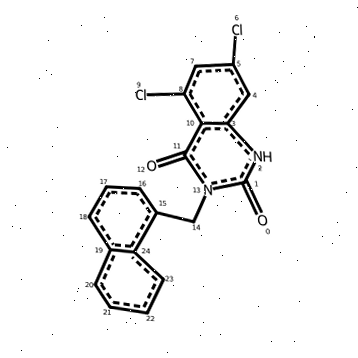 O=c1[nH]c2cc(Cl)cc(Cl)c2c(=O)n1Cc1cccc2ccccc12